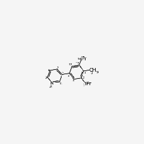 Cc1c(C(C)C)cc(-c2cccnc2)cc1C(C)C